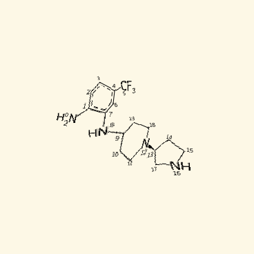 Nc1ccc(C(F)(F)F)cc1NC1CCN([C@H]2CCNC2)CC1